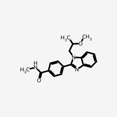 CNC(=O)c1ccc(-c2nc3ccccc3n2CC(C)OC)cc1